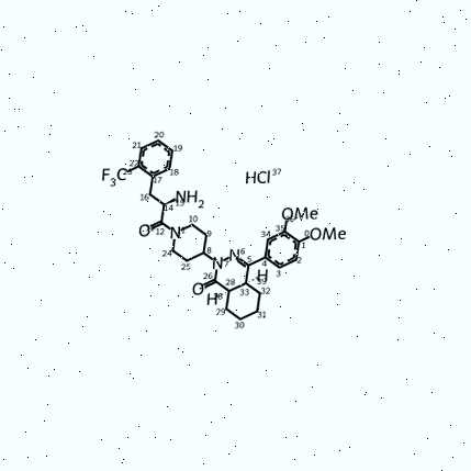 COc1ccc(C2=NN(C3CCN(C(=O)[C@H](N)Cc4ccccc4C(F)(F)F)CC3)C(=O)[C@@H]3CCCC[C@H]23)cc1OC.Cl